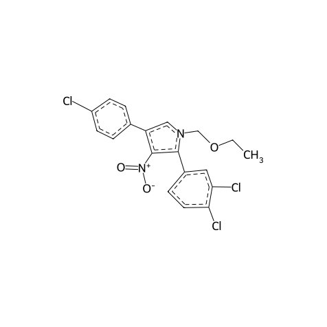 CCOCn1cc(-c2ccc(Cl)cc2)c([N+](=O)[O-])c1-c1ccc(Cl)c(Cl)c1